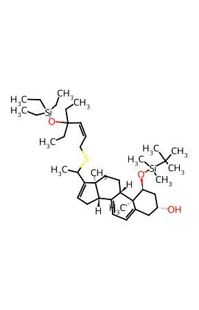 CCC(/C=C\CSC(C)C1=CC[C@H]2C3=CC=C4C[C@@H](O)C[C@H](O[Si](C)(C)C(C)(C)C)[C@]4(C)[C@H]3CC[C@]12C)(CC)O[Si](CC)(CC)CC